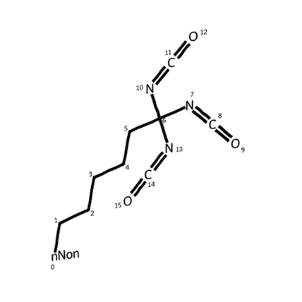 CCCCCCCCCCCCCCC(N=C=O)(N=C=O)N=C=O